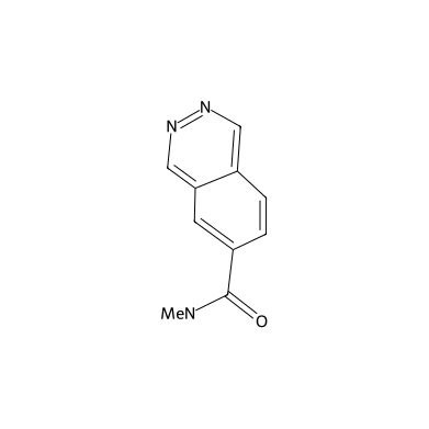 CNC(=O)c1ccc2cnncc2c1